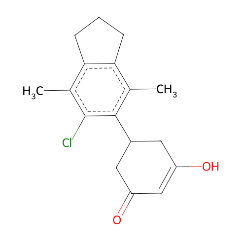 Cc1c(Cl)c(C2CC(=O)C=C(O)C2)c(C)c2c1CCC2